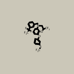 OC(CN(Cc1cccc(C(F)(F)C(F)(F)F)c1)c1cccc(Oc2cccc(SC(F)(F)F)c2)c1)C(F)(F)F